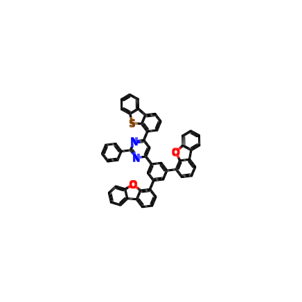 c1ccc(-c2nc(-c3cc(-c4cccc5c4oc4ccccc45)cc(-c4cccc5c4oc4ccccc45)c3)cc(-c3cccc4c3sc3ccccc34)n2)cc1